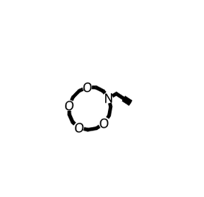 C#CCN1CCOCCOCCOCCOCC1